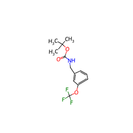 CC(C)(C)OC(=O)NCc1cccc(OC(F)(F)F)c1